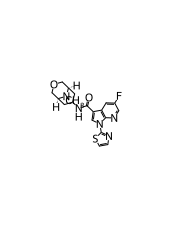 CN1[C@@H]2COC[C@H]1CC(NC(=O)c1cn(-c3nccs3)c3ncc(F)cc13)C2